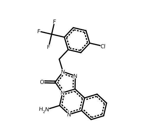 Nc1nc2ccccc2c2nn(Cc3cc(Cl)ccc3C(F)(F)F)c(=O)n12